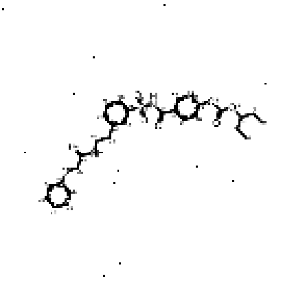 CCC(CC)OC(=O)Oc1ccc(C(=O)NS(=O)(=O)c2cccc(CCNC(=O)COc3ccccc3)c2)cn1